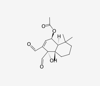 CC(=O)O[C@@H]1C=C(C=O)[C@](O)(C=O)[C@@]2(C)CCCC(C)(C)[C@H]12